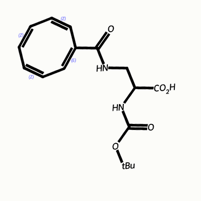 CC(C)(C)OC(=O)NC(CNC(=O)C1=C/C=C\C=C/C=C\1)C(=O)O